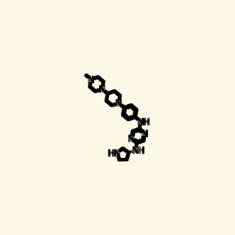 CN1CCN(C2CCN(c3ccc(Nc4cnc(N[C@@H]5CCNC5)cn4)cc3)CC2)CC1